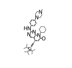 CC(C)[Si](C#Cc1cc(=O)n(C2CCCCC2)c2nc(Nc3ccc(N4CCN(C)CC4)cc3)ncc12)(C(C)C)C(C)C